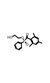 Cc1cc(C)c(C(=O)P(=O)(OCCO)c2ccccc2)c(C)c1